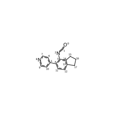 O=C=Nc1c(-c2ccncc2)ccc2c1CCC2